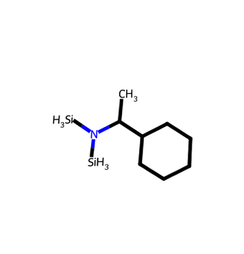 CC(C1CCCCC1)N([SiH3])[SiH3]